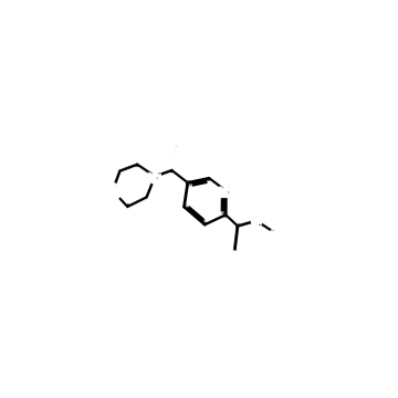 CC(SS)c1ccc([C@@H](C)N2CCOCC2)cn1